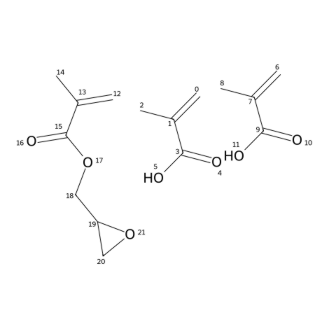 C=C(C)C(=O)O.C=C(C)C(=O)O.C=C(C)C(=O)OCC1CO1